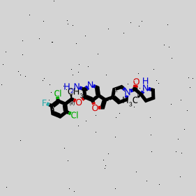 C[C@@H](Oc1c(N)ncc2c(C3=CCN(C(=O)[C@@]4(C)CCCN4)CC3)coc12)c1c(Cl)ccc(F)c1Cl